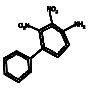 Nc1ccc(-c2ccccc2)c([N+](=O)[O-])c1[N+](=O)[O-]